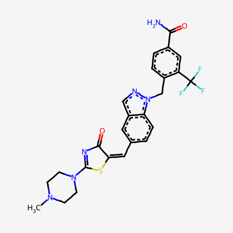 CN1CCN(C2=NC(=O)C(=Cc3ccc4c(cnn4Cc4ccc(C(N)=O)cc4C(F)(F)F)c3)S2)CC1